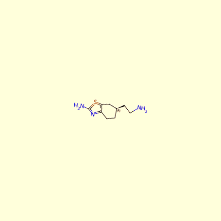 NCC[C@H]1CCc2nc(N)sc2C1